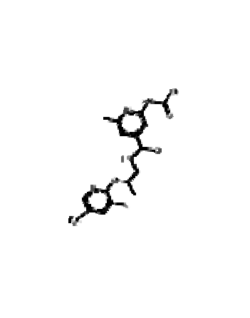 CCC(=O)Nc1cc(C(=O)NCC(C)Oc2ncc(C(F)(F)F)cc2Cl)cc(C)n1